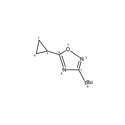 CC(C)(C)c1noc(C2CC2)n1